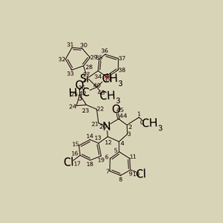 CCC1CC(c2cccc(Cl)c2)C(c2ccc(Cl)cc2)N(CCC2CC2O[Si](c2ccccc2)(c2ccccc2)C(C)(C)C)C1=O